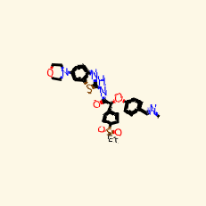 CCS(=O)(=O)c1ccc(C(Oc2ccc(/C=N/C)cc2)C(=O)Nc2nc3ccc(N4CCOCC4)cc3s2)cc1